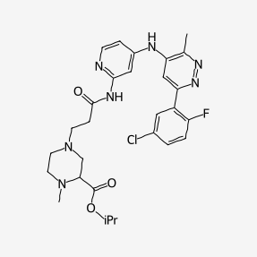 Cc1nnc(-c2cc(Cl)ccc2F)cc1Nc1ccnc(NC(=O)CCN2CCN(C)C(C(=O)OC(C)C)C2)c1